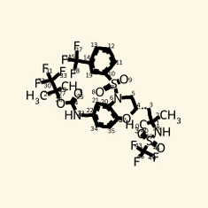 CC(C)(C[C@H]1CN(S(=O)(=O)c2cccc(C(F)(F)F)c2)c2cc(NC(=O)OC(C)(C)C(F)(F)F)ccc2O1)NS(=O)(=O)C(F)(F)F